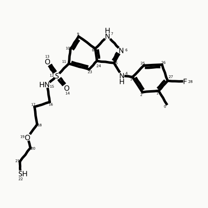 Cc1cc(Nc2n[nH]c3ccc(S(=O)(=O)NCCCOCCS)cc23)ccc1F